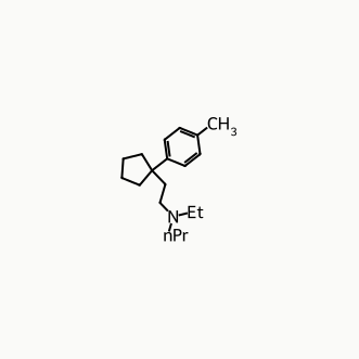 CCCN(CC)CCC1(c2ccc(C)cc2)CCCC1